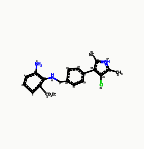 CCOC(=O)c1cccc(N)c1NCc1ccc(-c2c(C#N)[nH]c(C)c2Cl)cc1